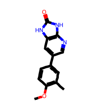 COc1ccc(-c2cnc3[nH]c(=O)[nH]c3c2)cc1C